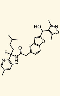 Cc1cnc(C(F)(CCC(C)C)NC(=O)Cc2ccc3oc(C(O)c4c(C)noc4C)cc3c2)c(C)c1